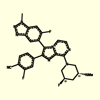 CN[C@@H]1C[C@@H](F)CN(c2nccn3c(-c4cc5nnn(C)c5cc4F)c(-c4ccc(C#N)c(F)c4)nc23)C1